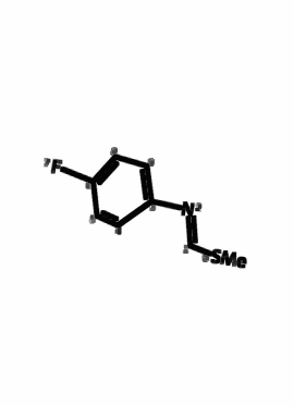 CSC=Nc1ccc(F)cc1